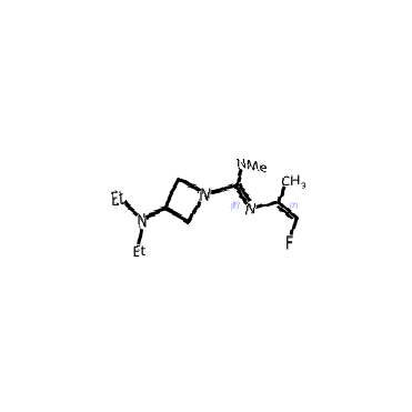 CCN(CC)C1CN(/C(=N/C(C)=C\F)NC)C1